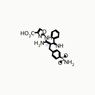 N=C(/C(Cc1ccc(S(N)(=O)=O)cc1)=C(/N)Nc1nc(C(=O)O)co1)c1ccccc1